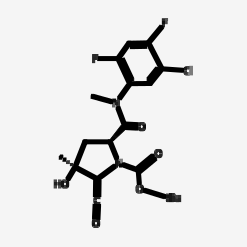 CN(C(=O)[C@@H]1C[C@](C)(O)C(=C=O)N1C(=O)OC(C)(C)C)c1cc(Cl)c(F)cc1F